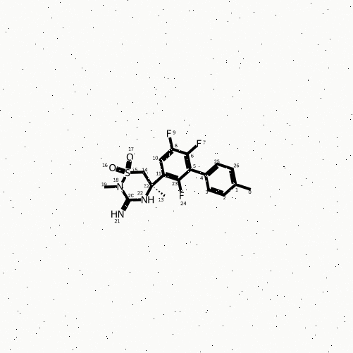 Cc1ccc(-c2c(F)c(F)cc([C@]3(C)CS(=O)(=O)N(C)C(=N)N3)c2F)cc1